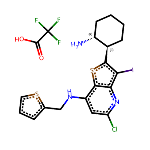 N[C@@H]1CCCC[C@H]1c1sc2c(NCc3cccs3)cc(Cl)nc2c1I.O=C(O)C(F)(F)F